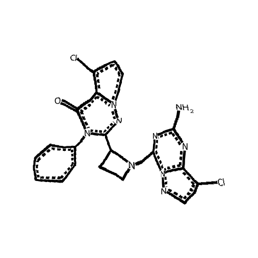 Nc1nc(N2CCC2c2nn3ccc(Cl)c3c(=O)n2-c2ccccc2)n2ncc(Cl)c2n1